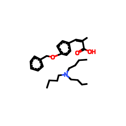 CC(=Cc1ccc(OCc2ccccc2)cc1)C(=O)O.CCCCN(CCCC)CCCC